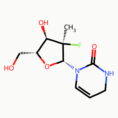 C[C@@]1(F)[C@H](O)[C@@H](CO)O[C@H]1N1C=CCNC1=O